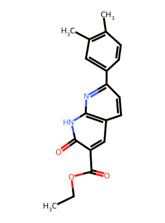 CCOC(=O)c1cc2ccc(-c3ccc(C)c(C)c3)nc2[nH]c1=O